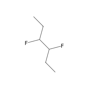 CCC(F)C(F)CC